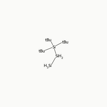 CC(C)(C)[Si]([SiH2][SiH3])(C(C)(C)C)C(C)(C)C